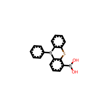 OB(O)c1cccc2c1Sc1ccccc1B2c1ccccc1